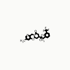 Cc1cnc(CN2CCC(C(C)(C)Cc3cccc(C(F)(F)F)c3)CC2=O)c(Cl)c1